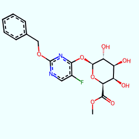 COC(=O)[C@H]1O[C@@H](Oc2nc(OCc3ccccc3)ncc2F)[C@H](O)[C@@H](O)[C@H]1O